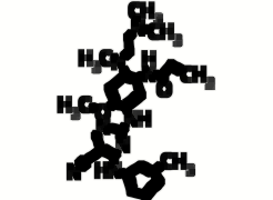 C=CC(=O)Nc1cc(Nc2ncc(C#N)c(Nc3cccc(C)c3)n2)c(OC)cc1N(C)CCN(C)C